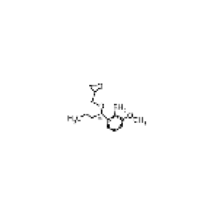 Bc1c(OC)cccc1[C@@H](CCC)OCC1CO1